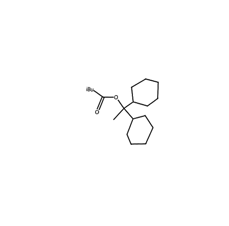 CCC(C)C(=O)OC(C)(C1CCCCC1)C1CCCCC1